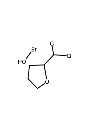 CCO.ClC(Cl)C1CCCO1